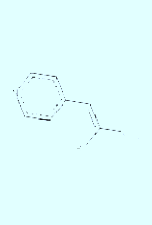 CC(Br)=Cc1ccncc1